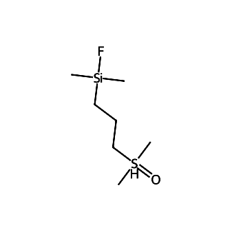 C[Si](C)(F)CCC[SH](C)(C)=O